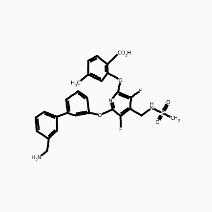 Cc1ccc(C(=O)O)c(Oc2nc(Oc3cccc(-c4cccc(CN)c4)c3)c(F)c(CNS(C)(=O)=O)c2F)c1